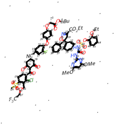 CCCCOC(=O)[C@@H](C)Oc1ccc(Oc2ccc(C#N)cc2F)cc1.CCOC(=O)C1=NOC(c2ccccc2)(c2ccccc2)C1.CCOc1ccccc1OS(=O)(=O)NC(=O)Nc1nc(OC)cc(OC)n1.CS(=O)(=O)c1ccc(C(=O)C2C(=O)CCCC2=O)c(Cl)c1COCC(F)(F)F